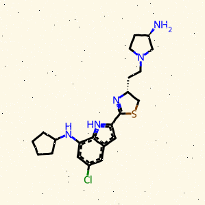 N[C@@H]1CCN(CC[C@@H]2CSC(c3cc4cc(Cl)cc(NC5CCCC5)c4[nH]3)=N2)C1